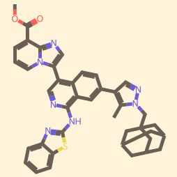 COC(=O)c1cccn2c(-c3cnc(Nc4nc5ccccc5s4)c4cc(-c5cnn(CC67CC8CC(CC(C8)C6)C7)c5C)ccc34)cnc12